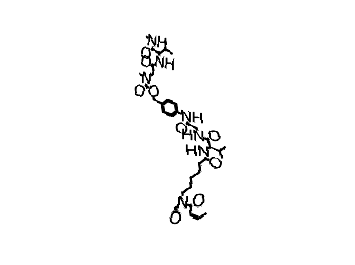 C/C=C\C(=O)N(C=O)CCCCCC(=O)NC(C(=O)NCC(=O)Nc1ccc(COC(=O)N(C)CC(=O)NC(C(=O)NC)C(C)C)cc1)C(C)C